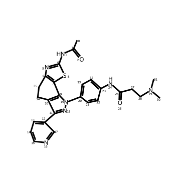 CC(=O)Nc1nc2c(s1)-c1c(c(-c3cccnc3)nn1-c1ccc(NC(=O)CCN(C)C)cc1)CC2